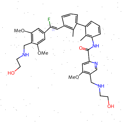 COc1cc(C(=O)Nc2cccc(-c3cccc(/C=C(\F)c4cc(OC)c(CNCCO)c(OC)c4)c3C)c2C)ncc1CNCCO